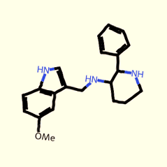 COc1ccc2[nH]cc(CNC3CCCNC3c3ccccc3)c2c1